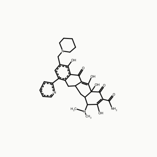 CN(C)C1C(O)=C(C(N)=O)C(=O)C2(O)C(O)=C3C(=O)c4c(O)c(CN5CCCCC5)cc(-c5ccccn5)c4CC3CC12